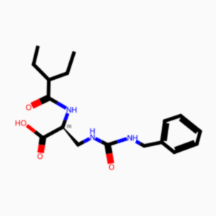 CCC(CC)C(=O)N[C@@H](CNC(=O)NCc1ccccc1)C(=O)O